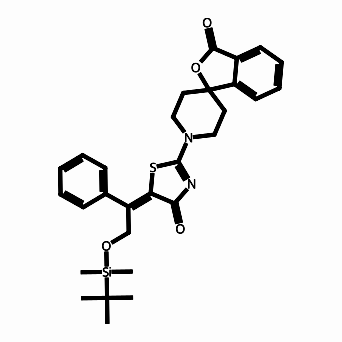 CC(C)(C)[Si](C)(C)OCC(=C1SC(N2CCC3(CC2)OC(=O)c2ccccc23)=NC1=O)c1ccccc1